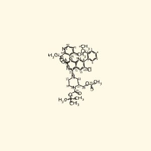 COc1ccccc1-c1nc2c(cc1Cl)c(N1CCN(C(=O)OC(C)(C)C)C(COC(C)=O)C1)nc(=O)n2-c1c(C)ccnc1C(C)C